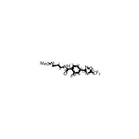 CO/N=C/CCNC(=O)c1ccc(-c2noc(C(F)(F)F)n2)cc1F